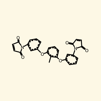 Cc1c(Oc2cccc(N3C(=O)C=CC3=O)c2)cccc1Oc1cccc(N2C(=O)C=CC2=O)c1